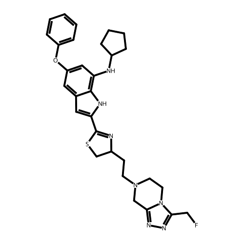 FCc1nnc2n1CCN(CCC1CSC(c3cc4cc(Oc5ccccc5)cc(NC5CCCC5)c4[nH]3)=N1)C2